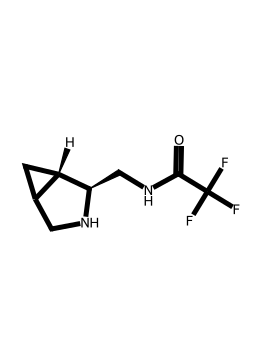 O=C(NC[C@H]1NCC2C[C@@H]21)C(F)(F)F